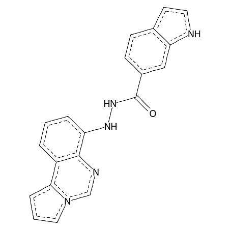 O=C(NNc1cccc2c1ncn1cccc21)c1ccc2cc[nH]c2c1